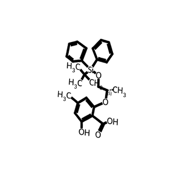 Cc1cc(O)c(C(=O)O)c(O[C@@H](C)CO[Si](c2ccccc2)(c2ccccc2)C(C)(C)C)c1